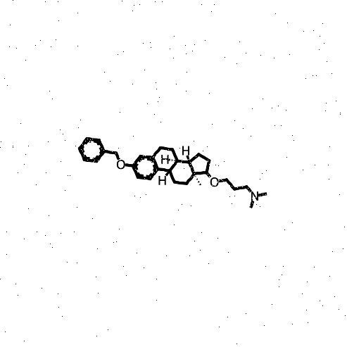 CN(C)CCCOC1CC[C@H]2[C@@H]3CCc4cc(OCc5ccccc5)ccc4[C@H]3CC[C@]12C